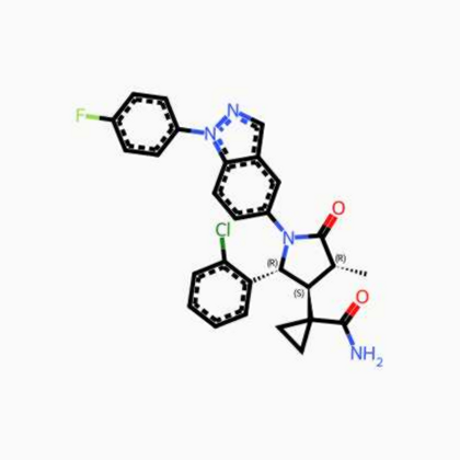 C[C@H]1C(=O)N(c2ccc3c(cnn3-c3ccc(F)cc3)c2)[C@@H](c2ccccc2Cl)[C@@H]1C1(C(N)=O)CC1